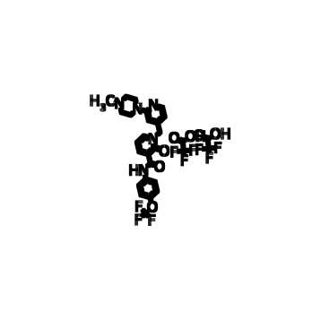 CN1CCN(c2cc(Cn3cccc(C(=O)Nc4ccc(OC(F)(F)F)cc4)c3=O)ccn2)CC1.O=C(O)C(F)(F)F.O=C(O)C(F)(F)F